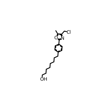 Cc1oc(-c2ccc(CCCCCCCCO)cc2)nc1CCl